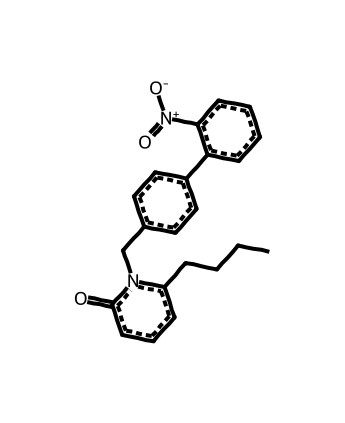 CCCCc1cccc(=O)n1Cc1ccc(-c2ccccc2[N+](=O)[O-])cc1